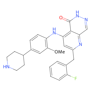 COc1cc(C2CCNCC2)ccc1Nc1cc(Cc2ccccc2F)nc2cn[nH]c(=O)c12